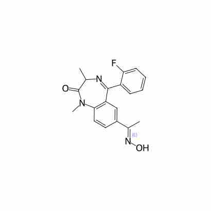 C/C(=N\O)c1ccc2c(c1)C(c1ccccc1F)=NC(C)C(=O)N2C